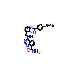 COc1ccc(C(=O)Nc2cccc(CNc3ncnc4c(C(N)=O)cccc34)c2F)cc1